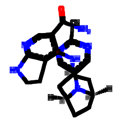 N#Cc1ncc(N2[C@@H]3CC[C@H]2C[C@H](Nc2c(C(N)=O)cnc4c2CCN4)C3)cn1